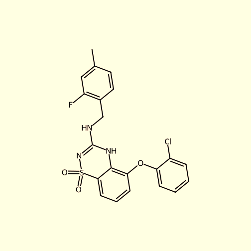 Cc1ccc(CNC2=NS(=O)(=O)c3cccc(Oc4ccccc4Cl)c3N2)c(F)c1